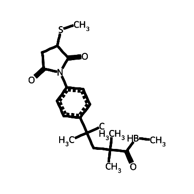 CBC(=O)C(C)(C)CC(C)(C)c1ccc(N2C(=O)CC(SC)C2=O)cc1